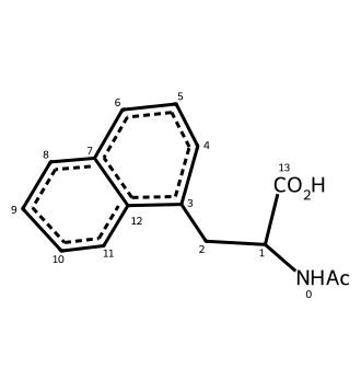 CC(=O)NC(Cc1cccc2ccccc12)C(=O)O